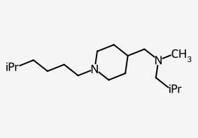 CC(C)CCCCN1CCC(CN(C)CC(C)C)CC1